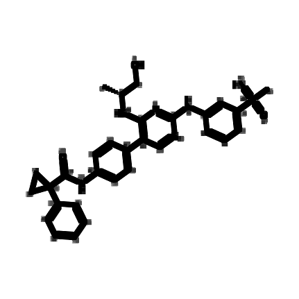 C[C@H](CO)Nc1nc(Nc2cccc(S(C)(=N)=O)c2)ncc1-c1ccc(NC(=O)C2(c3ccccc3)CC2)cc1